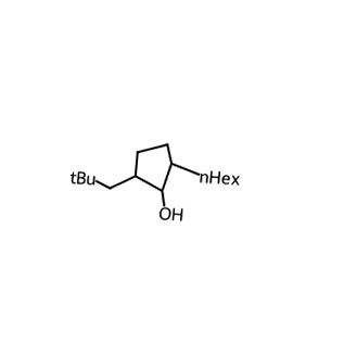 CCCCCCC1CCC(CC(C)(C)C)C1O